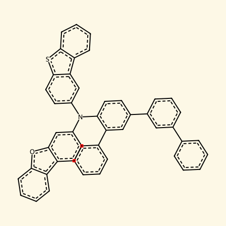 c1ccc(-c2cccc(-c3ccc(N(c4ccc5c(c4)oc4ccccc45)c4ccc5sc6ccccc6c5c4)c(-c4ccccc4)c3)c2)cc1